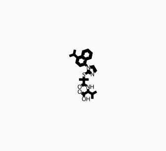 CC(C)c1ccc(-n2ccnc2SC(C)(C)C(=O)NC(C(=O)O)C(C)C)c2ccccc12